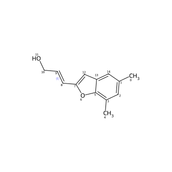 Cc1cc(C)c2oc(/C=C/CO)cc2c1